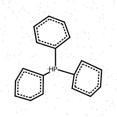 c1ccc([PH](c2ccccc2)c2ccccc2)cc1